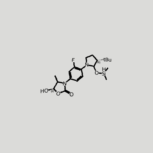 CC1[C@H](O)OC(=O)N1c1ccc(N2CC[C@H](C(C)(C)C)C2O[SiH](C)C)c(F)c1